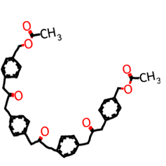 CC(=O)OCc1ccc(CC(=O)Cc2ccc(CC(=O)Cc3ccc(CC(=O)Cc4ccc(COC(C)=O)cc4)cc3)cc2)cc1